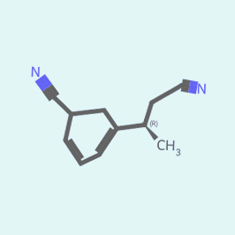 C[C@H](CC#N)C1=CC=CC(C#N)C1